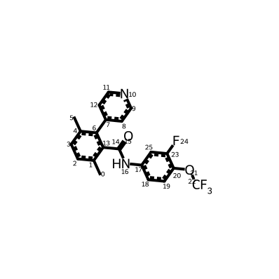 Cc1ccc(C)c(-c2ccncc2)c1C(=O)Nc1ccc(OC(F)(F)F)c(F)c1